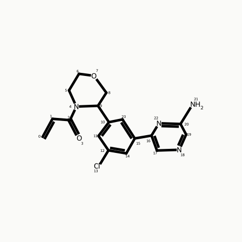 C=CC(=O)N1CCOCC1c1cc(Cl)cc(-c2cncc(N)n2)c1